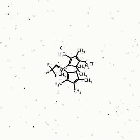 CC1=C(C)C(C)[C]([Zr+2]([CH3])(=[CH]C(F)(F)F)[C]2=C(C)C(C)=C(C)C2C)=C1C.[Cl-].[Cl-]